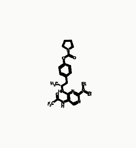 CCN(CC)c1ncc(NC(=O)C(F)(F)F)c(N[C@H](C)Cc2ccc(OC(=O)N3CCCC3)cc2)n1